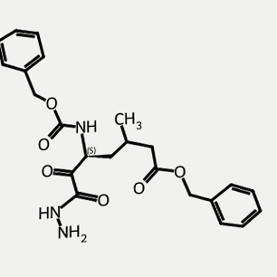 CC(CC(=O)OCc1ccccc1)C[C@H](NC(=O)OCc1ccccc1)C(=O)C(=O)NN